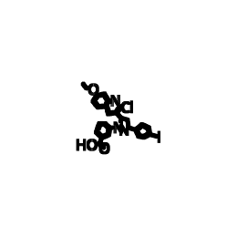 CCOc1ccc2cc(C3CC(c4ccc(I)cc4)=NN3c3cccc(C(=O)O)c3)c(Cl)nc2c1